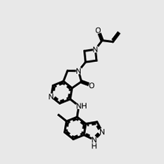 C=CC(=O)N1CC(N2Cc3cncc(Nc4c(C)ccc5[nH]ncc45)c3C2=O)C1